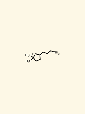 CC1(C)CCC(CCCN)N1